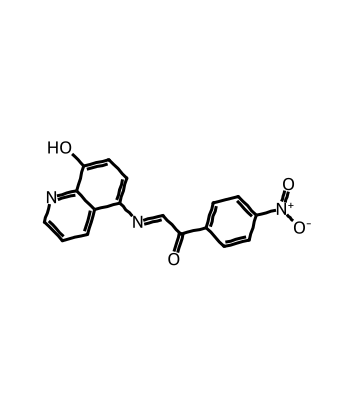 O=C(C=Nc1ccc(O)c2ncccc12)c1ccc([N+](=O)[O-])cc1